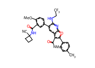 CNC(=O)c1c(-c2ccc(C)cc2)oc2nc(NCC(F)(F)F)c(-c3ccc(OC)c(C(=O)NC4(C#N)CCC4)c3)cc12